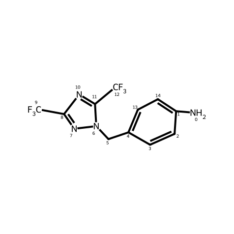 Nc1ccc(Cn2nc(C(F)(F)F)nc2C(F)(F)F)cc1